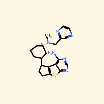 CN(Cc1cnccn1)[C@H]1CCCC(C2CCc3sc4ncnc(N)c4c32)C1